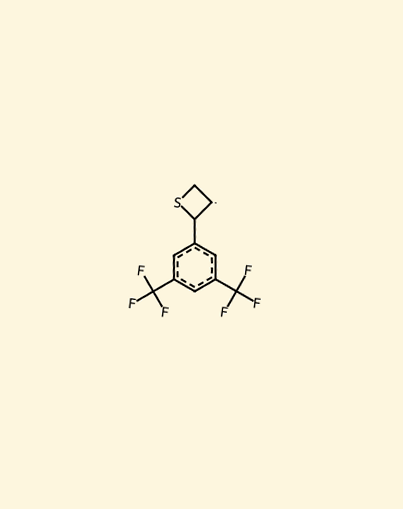 FC(F)(F)c1cc(C2[CH]CS2)cc(C(F)(F)F)c1